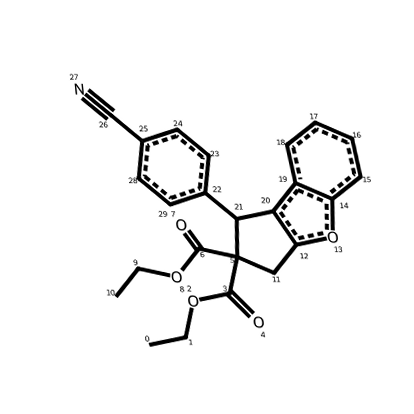 CCOC(=O)C1(C(=O)OCC)Cc2oc3ccccc3c2C1c1ccc(C#N)cc1